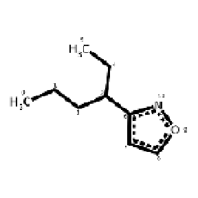 CCCC(CC)c1ccon1